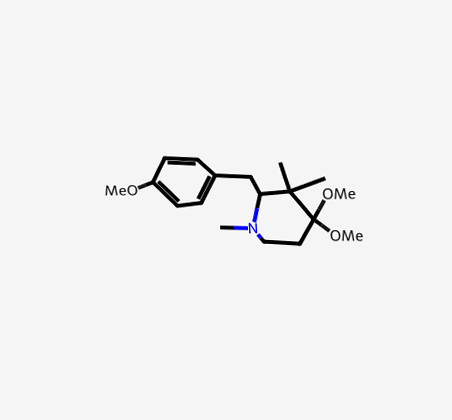 COc1ccc(CC2N(C)CCC(OC)(OC)C2(C)C)cc1